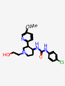 COc1ccc(C2CN(CCO)CCC2NC(=O)Nc2ccc(Cl)cc2)nc1